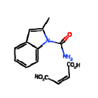 Cc1cc2ccccc2n1C(N)=O.O=C(O)/C=C\C(=O)O